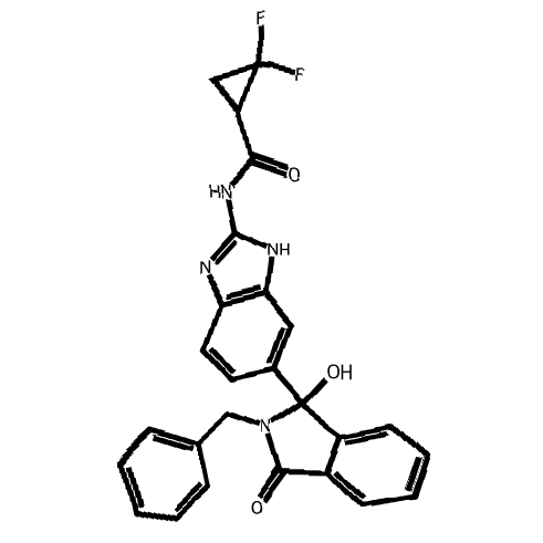 O=C(Nc1nc2ccc(C3(O)c4ccccc4C(=O)N3Cc3ccccc3)cc2[nH]1)C1CC1(F)F